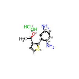 CC(=O)c1ccsc1-c1cc(N)ccc1N.Cl.Cl